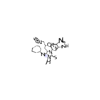 CC(CC1/C(=N\C2CCCCCC2)NC(=S)N1c1ccc2nc[nH]c2c1)CC(C)(C)C